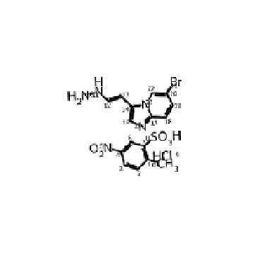 Cc1ccc([N+](=O)[O-])cc1S(=O)(=O)O.Cl.NNC=Cc1cnc2ccc(Br)cn12